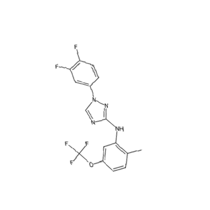 Cc1ccc(OC(F)(F)F)cc1Nc1ncn(-c2ccc(F)c(F)c2)n1